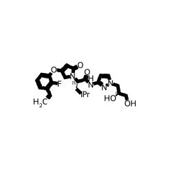 C=Cc1cccc(OC2=CC(=O)N([C@@H](CC(C)C)C(=O)Nc3ccn(C[C@@H](O)CO)n3)C2)c1F